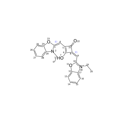 CCN1/C(=C\C2=C(O)C(=C\c3oc4ccccc4[n+]3CC)/C2=O)Oc2ccccc21